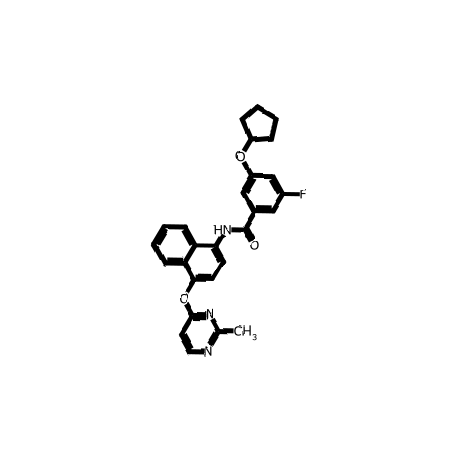 Cc1nccc(Oc2ccc(NC(=O)c3cc(F)cc(OC4CCCC4)c3)c3ccccc23)n1